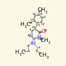 CCCN(CCC)c1ncc(-c2ccc(C)cc2C)c(=O)n1C